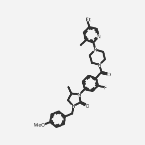 CCc1cnc(N2CCN(C(=O)c3ccc(N4C(=O)N(Cc5ccc(OC)cc5)CC4C)cc3F)CC2)c(C)c1